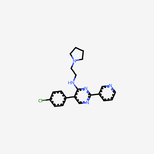 Clc1ccc(-c2cnc(-c3cccnc3)nc2NCCN2CCCC2)cc1